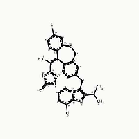 CC(=C1c2ccc(Cc3c(C(C)C)nc4c(Cl)cccn34)cc2COc2cc(F)ccc21)c1noc(=O)[nH]1